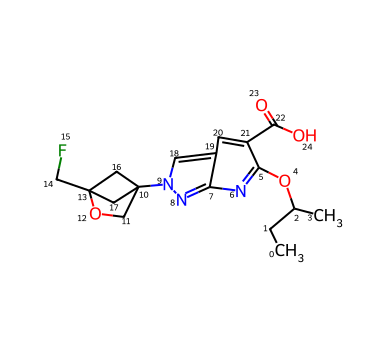 CCC(C)Oc1nc2nn(C34COC(CF)(C3)C4)cc2cc1C(=O)O